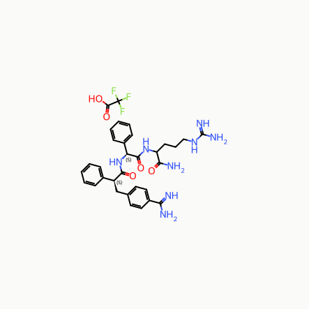 N=C(N)NCCCC(NC(=O)[C@@H](NC(=O)[C@@H](Cc1ccc(C(=N)N)cc1)c1ccccc1)c1ccccc1)C(N)=O.O=C(O)C(F)(F)F